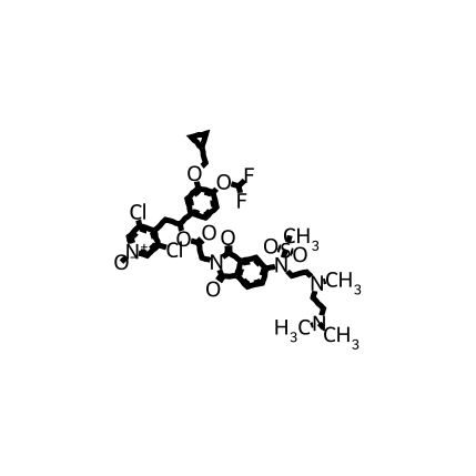 CN(C)CCN(C)CCN(c1ccc2c(c1)C(=O)N(CC(=O)OC(Cc1c(Cl)c[n+]([O-])cc1Cl)c1ccc(OC(F)F)c(OCC3CC3)c1)C2=O)S(C)(=O)=O